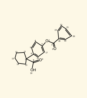 O=C(Oc1ccc(C2(C(=O)O)CCCCC2)cc1)c1ccccc1